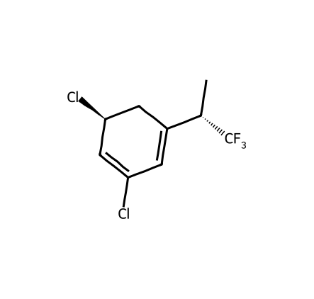 C[C@@H](C1=CC(Cl)=C[C@@H](Cl)C1)C(F)(F)F